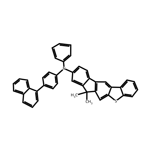 CC1(C)c2cc(N(c3ccccc3)c3ccc(-c4cccc5ccccc45)cc3)ccc2-c2cc3c(cc21)sc1ccccc13